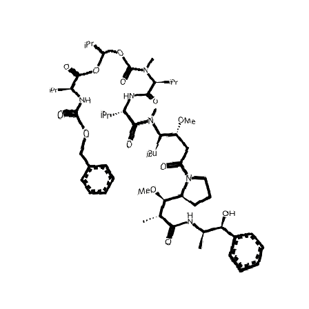 CC[C@H](C)C([C@@H](CC(=O)N1CCC[C@H]1[C@H](OC)[C@@H](C)C(=O)N[C@H](C)[C@@H](O)c1ccccc1)OC)N(C)C(=O)[C@@H](NC(=O)[C@H](C(C)C)N(C)C(=O)OC(OC(=O)[C@@H](NC(=O)OCc1ccccc1)C(C)C)C(C)C)C(C)C